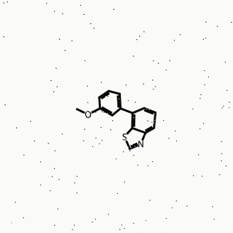 COc1cccc(-c2cccc3n[c]sc23)c1